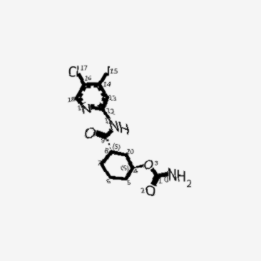 NC(=O)O[C@H]1CCC[C@H](C(=O)Nc2cc(I)c(Cl)cn2)C1